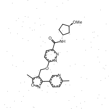 CO[C@@H]1CC[C@@H](NC(=O)c2ccc(OCc3c(-c4ccc(C)nc4)noc3C)nn2)C1